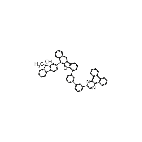 CC1(C)c2ccccc2-c2ccc(-c3c4ccccc4cc4c3oc3c(-c5cccc(-c6cccc(-c7cnc8c9ccccc9c9ccccc9c8n7)c6)c5)cccc34)cc21